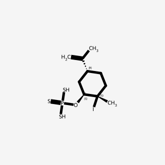 C=C(C)[C@@H]1CC[C@](C)(I)[C@@H](OP(=S)(S)S)C1